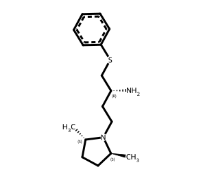 C[C@H]1CC[C@H](C)N1CC[C@@H](N)CSc1ccccc1